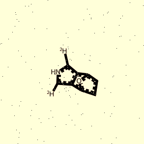 [2H]c1[nH]c([2H])c2c3ccc(o3)c12